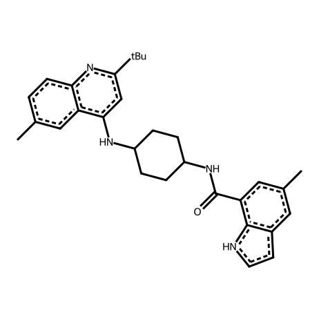 Cc1cc(C(=O)NC2CCC(Nc3cc(C(C)(C)C)nc4ccc(C)cc34)CC2)c2[nH]ccc2c1